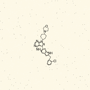 Nc1ncnc2c1c(-c1ccc3cc(Cc4ccccc4Cl)[nH]c3c1)nn2C1CCC(N2CCOCC2)CC1